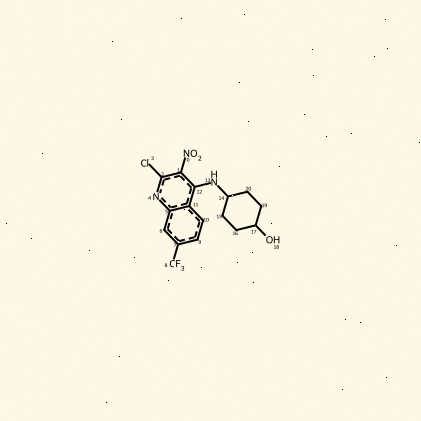 O=[N+]([O-])c1c(Cl)nc2cc(C(F)(F)F)ccc2c1NC1CCC(O)CC1